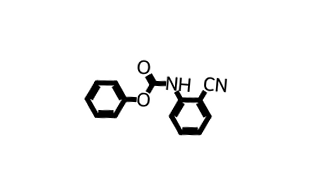 N#Cc1ccccc1NC(=O)Oc1ccccc1